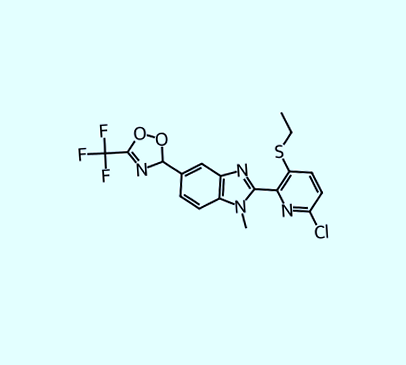 CCSc1ccc(Cl)nc1-c1nc2cc(C3N=C(C(F)(F)F)OO3)ccc2n1C